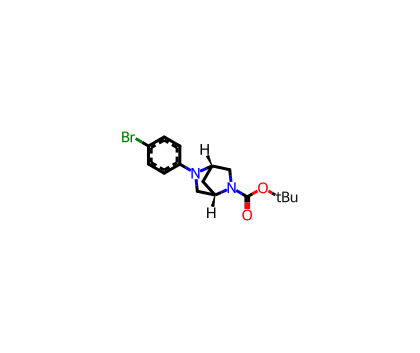 CC(C)(C)OC(=O)N1C[C@@H]2C[C@H]1CN2c1ccc(Br)cc1